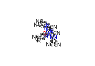 N#CC(=C1N=c2cc(C#N)c(C#N)cc2=N1)c1nc(C(C#N)=C2N=c3cc(C#N)c(C#N)cc3=N2)nc(-c2nc3cc(C#N)c(C#N)cc3o2)n1